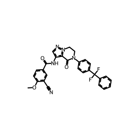 COc1ccc(C(=O)Nc2cnn3c2C(=O)N(c2ccc(C(F)(F)c4ccccc4)cc2)CC3)cc1C#N